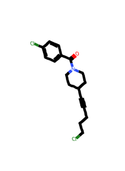 O=C(c1ccc(Cl)cc1)N1CCC(C#CCCCCl)CC1